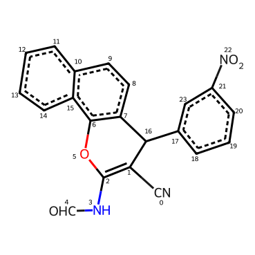 N#CC1=C(NC=O)Oc2c(ccc3ccccc23)C1c1cccc([N+](=O)[O-])c1